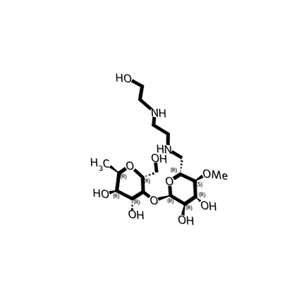 CO[C@H]1[C@H](O)[C@@H](O)[C@@H](OC2[C@@H](CO)O[C@H](C)[C@H](O)[C@H]2O)O[C@@H]1CNCCNCCO